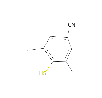 Cc1cc(C#N)cc(C)c1S